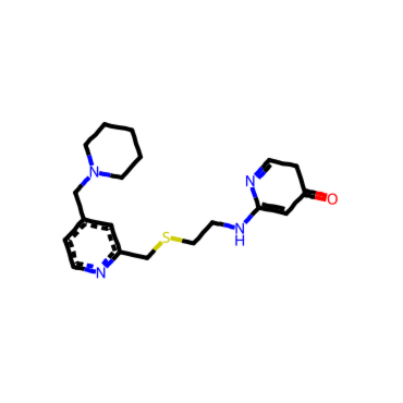 O=C1C=C(NCCSCc2cc(CN3CCCCC3)ccn2)N=CC1